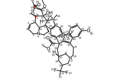 CC[C@]12C=CCN3CC[C@@]4(c5cc([C@@]6(C(=O)OC)C[C@H]7CC(C(C)(F)F)CN(CCc8c6[nH]c6ccc(OC)cc86)C7)c(OC)cc5N(C)[C@H]4[C@@](O)(C(=O)OC)[C@@H]1OC(C)=O)[C@@H]32